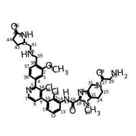 COc1cc(-c2nccc(-c3cccc(NC(=O)c4nc5c(n4C)CCN(C(=O)CN)C5)c3Cl)c2Cl)ccc1CNC[C@H]1CCC(=O)N1